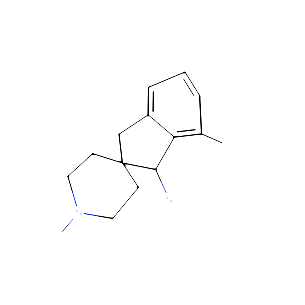 CN1CCC2(CC1)Cc1cccc(C(F)(F)F)c1C2N